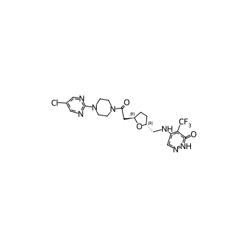 O=C(C[C@H]1CC[C@H](CNc2cn[nH]c(=O)c2C(F)(F)F)O1)N1CCN(c2ncc(Cl)cn2)CC1